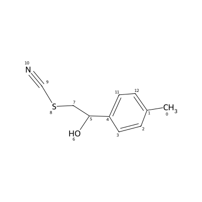 Cc1ccc(C(O)CSC#N)cc1